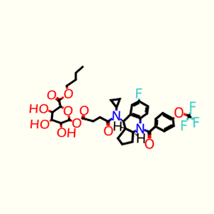 CCCCOC(=O)C1OC(OC(=O)CCC(=O)N(C2CC2)[C@H]2c3cc(F)ccc3N(C(=O)c3ccc(OC(F)(F)F)cc3)[C@H]3CCC[C@H]32)C(O)C(O)C1O